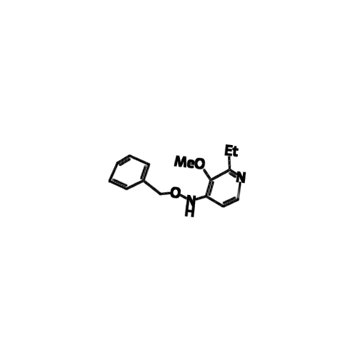 CCc1nccc(NOCc2ccccc2)c1OC